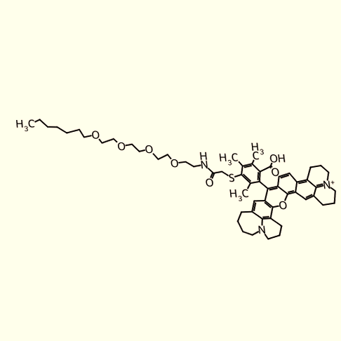 CCCCCCCOCCOCCOCCOCCNC(=O)CSc1c(C)c(C)c(C(=O)O)c(C2=c3ccc4c5c6c(cc4c3Oc3c2cc2c4c3CCCN4CCCC2)CCC[N+]=6CCC5)c1C